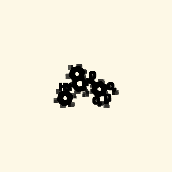 COc1cc(C(=O)N2c3ccccc3[C@@H](Nc3ccccc3)C[C@H]2C)cc(OC)c1OC